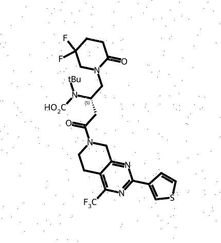 CC(C)(C)N(C(=O)O)[C@@H](CC(=O)N1CCc2c(nc(-c3ccsc3)nc2C(F)(F)F)C1)CN1CC(F)(F)CCC1=O